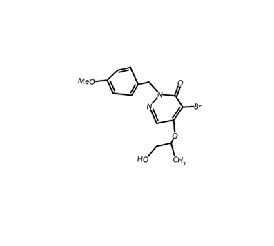 COc1ccc(Cn2ncc(OC(C)CO)c(Br)c2=O)cc1